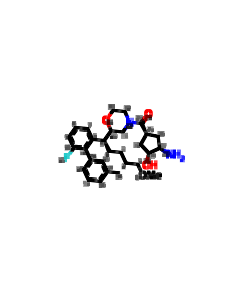 COCCCC[C@@H](c1cccc(F)c1-c1cccc(C)c1)C1CN(C(=O)[C@H]2C[C@@H](N)[C@@H](O)C2)CCO1